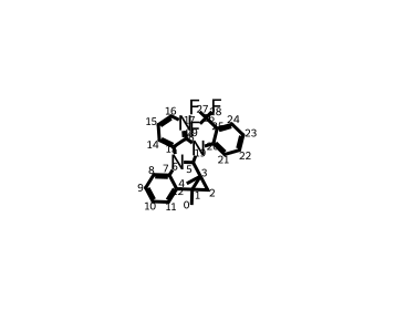 CC12CC1(C)C1N(c3ccccc32)c2cccnc2N1c1ccccc1C(F)(F)F